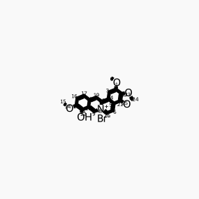 COc1cc2c(cc[n+]3cc4c(O)c(OC)ccc4cc23)c2c1OCO2.[Br-]